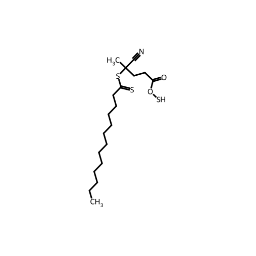 CCCCCCCCCCCCC(=S)SC(C)(C#N)CCC(=O)OS